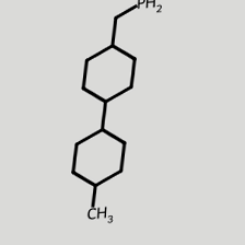 CC1CCC(C2CCC(CP)CC2)CC1